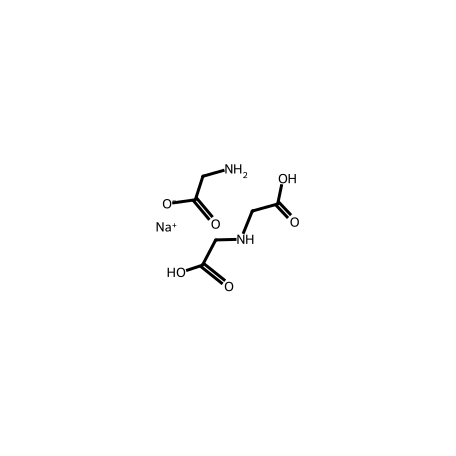 NCC(=O)[O-].O=C(O)CNCC(=O)O.[Na+]